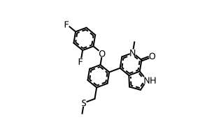 CSCc1ccc(Oc2ccc(F)cc2F)c(-c2cn(C)c(=O)c3[nH]ccc23)c1